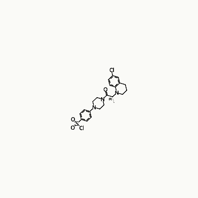 C[C@H](C(=O)N1CCN(c2ccc(S(=O)(=O)Cl)cc2)CC1)N1CCCc2cc(Cl)ccc21